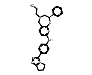 OCCN1Cc2ccc(Nc3ccc(-c4nnc5n4CCC5)cc3)nc2O[C@H](c2ccccc2)C1